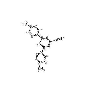 Cc1ccc(-c2cc(C#N)cc(-c3ccc(C)cc3)n2)cc1